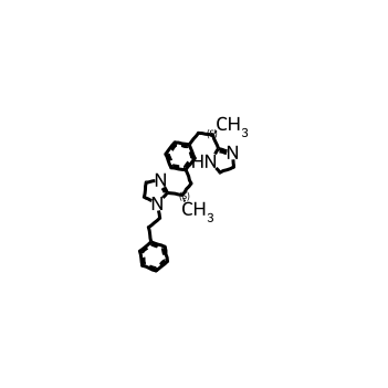 C[C@@H](Cc1cccc(C[C@H](C)C2=NCCN2CCc2ccccc2)c1)C1=NCCN1